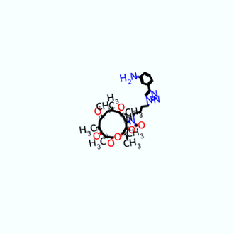 CC[C@H]1OC(=O)[C@H](C)C(=O)[C@H](C)C[C@@H](OC)C[C@@H](C)C(=O)[C@H](C)[C@@H]2N(CCCCn3cc(-c4cccc(N)c4)nn3)C(=O)O[C@@]21C